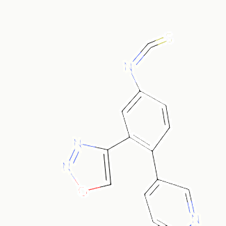 S=C=Nc1ccc(-c2cccnc2)c(-c2conn2)c1